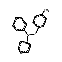 Nc1ccc(O[SH](c2ccccc2)c2ccccc2)cc1